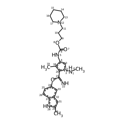 CNn1cc(NC(=O)OCCCN2CCCCC2)c(C)c1C(=N)Oc1ccc2[nH]c(C)cc2c1